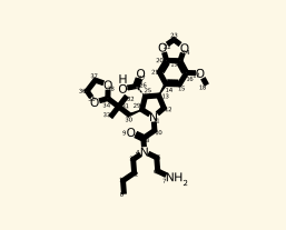 CCCCN(CCN)C(=O)CN1C[C@H](c2cc(OC)c3c(c2)OCO3)[C@@H](C(=O)O)[C@@H]1CC(C)(C)C1OCCO1